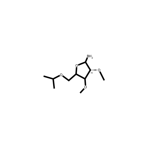 BC1OC(COC(C)C)C(OC)[C@H]1OC